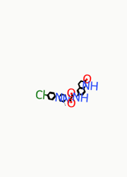 C[C@@H]1CN(c2ccc(Cl)cc2)CCN1C(=O)C(=O)Nc1ccc2c(c1)CCC(=O)N2